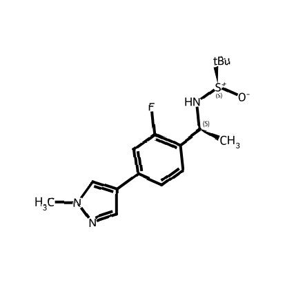 C[C@H](N[S@+]([O-])C(C)(C)C)c1ccc(-c2cnn(C)c2)cc1F